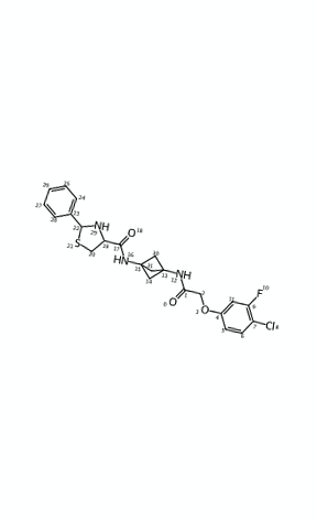 O=C(COc1ccc(Cl)c(F)c1)NC12CC(NC(=O)C3CSC(c4ccccc4)N3)(C1)C2